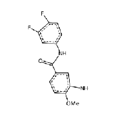 COc1ccc(C(=O)Nc2ccc(F)c(F)c2)cc1[NH]